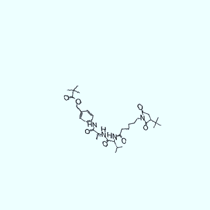 CC(C)C(NC(=O)CCCCCN1C(=O)CC(C(C)(C)C)C1=O)C(=O)N[C@@H](C)C(=O)Nc1ccc(COC(=O)C(C)(C)C)cc1